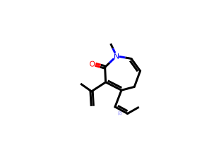 C=C(C)C1=C(/C=C\C)CC=CN(C)C1=O